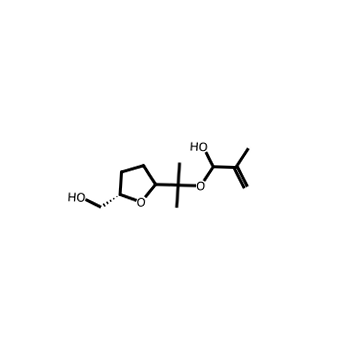 C=C(C)C(O)OC(C)(C)C1CC[C@@H](CO)O1